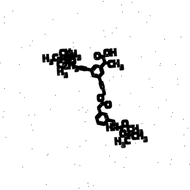 CC(C(=O)O)c1cc(C#CCOC(=O)Cc2cccc(CNC(=O)OC(C)(C)C)c2)cc(C#CCO[Si](C)(C)C(C)(C)C)c1